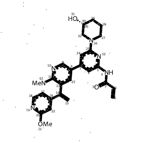 C=CC(=O)Nc1cc(-c2cnc(NC)c(C(=C)c3ccnc(OC)c3)c2)cc(N2CCC[C@@H](O)C2)n1